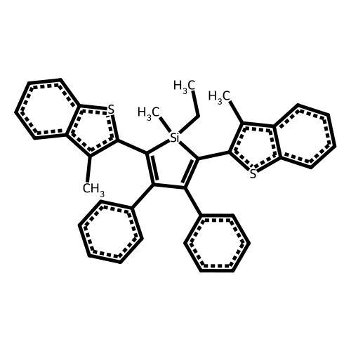 CC[Si]1(C)C(c2sc3ccccc3c2C)=C(c2ccccc2)C(c2ccccc2)=C1c1sc2ccccc2c1C